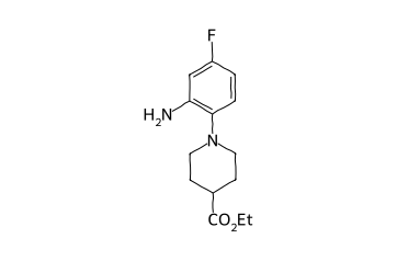 CCOC(=O)C1CCN(c2ccc(F)cc2N)CC1